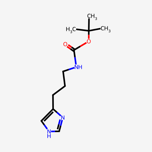 CC(C)(C)OC(=O)NCCCc1c[nH]cn1